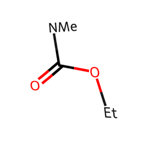 [CH]NC(=O)OCC